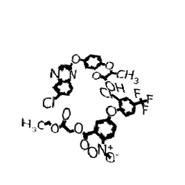 CC(Oc1ccc(Oc2cnc3cc(Cl)ccc3n2)cc1)C(=O)O.CCOC(=O)COC(=O)c1cc(Oc2ccc(C(F)(F)F)cc2Cl)ccc1[N+](=O)[O-]